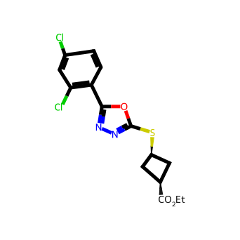 CCOC(=O)[C@H]1C[C@@H](Sc2nnc(-c3ccc(Cl)cc3Cl)o2)C1